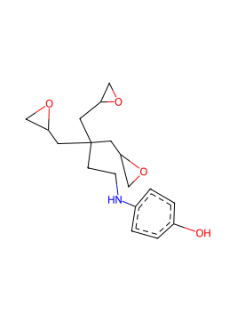 Oc1ccc(NCCC(CC2CO2)(CC2CO2)CC2CO2)cc1